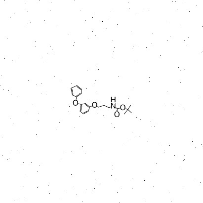 CC(C)(C)OC(=O)NCCCOc1cccc(Oc2ccccc2)c1